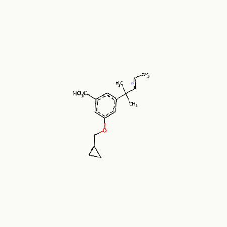 C/C=C/C(C)(C)c1cc(OCC2CC2)cc(C(=O)O)c1